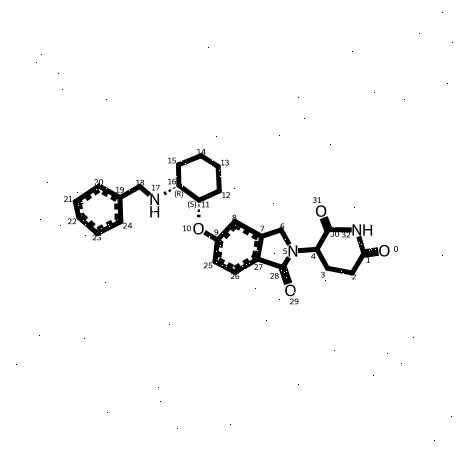 O=C1CCC(N2Cc3cc(O[C@H]4CCCC[C@H]4NCc4ccccc4)ccc3C2=O)C(=O)N1